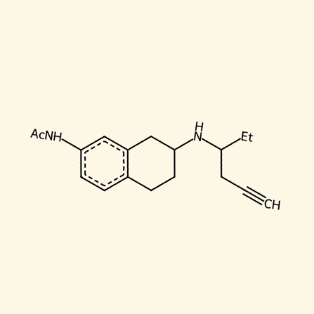 C#CCC(CC)NC1CCc2ccc(NC(C)=O)cc2C1